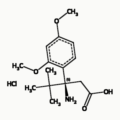 COc1ccc([C@](N)(CC(=O)O)C(C)(C)C)c(OC)c1.Cl